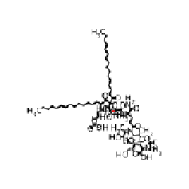 CCCCCCCCCCCCCCCC(=O)C(O[C@@](C)(N)C(=O)N[C@H](CCC(=O)N(CC(C)O[C@H]1[C@H](O)[C@@H](CO)O[C@H](O)[C@@H]1NC(C)=O)[C@@H](C)C(=O)O)C(N)=O)(C(=O)C(CCCCCCCCCCCCCC)NCCO[PH](=O)O)[C@@H](O)CO